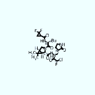 CC[C@H](C)[C@H](NC(=O)C1CC1(F)F)C(=O)N1C[C@H]2[C@@H]([C@H]1C(=O)NN(C[C@@H]1CCNC1=O)C(=O)[C@@H](F)Cl)C2(C)C